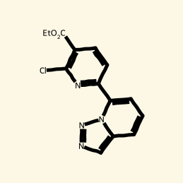 CCOC(=O)c1ccc(-c2cccc3cnnn23)nc1Cl